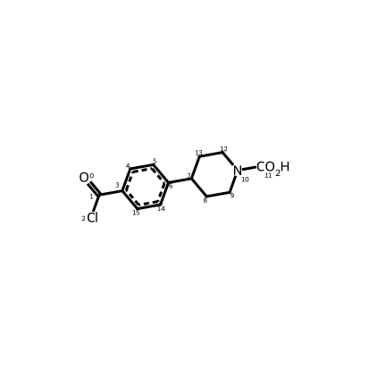 O=C(Cl)c1ccc(C2CCN(C(=O)O)CC2)cc1